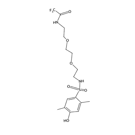 Cc1cc(S(=O)(=O)NCCOCCOCCNC(=O)C(F)(F)F)c(C)cc1O